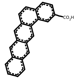 O=C(O)c1ccc2ccc3cc4cc5ccccc5cc4cc3c2c1